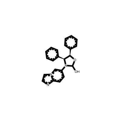 OC1O[C@H](c2ccccc2)[C@H](c2ccccc2)N1c1ccc2nccn2c1